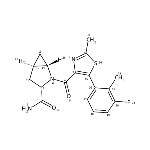 Cc1nc(C(=O)N2[C@H](C(N)=O)C[C@H]3C[C@@H]32)c(-c2cccc(F)c2C)s1